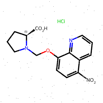 Cl.O=C(O)[C@@H]1CCCN1COc1ccc([N+](=O)[O-])c2cccnc12